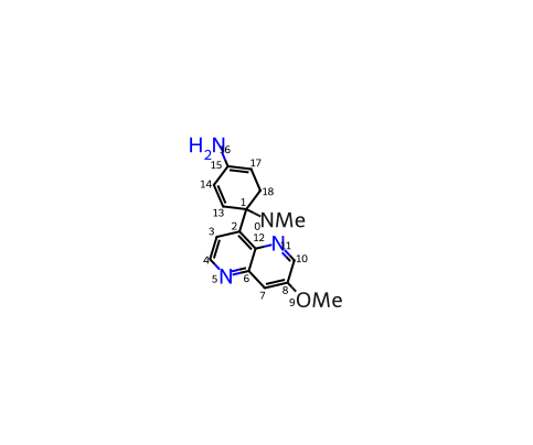 CNC1(c2ccnc3cc(OC)cnc23)C=CC(N)=CC1